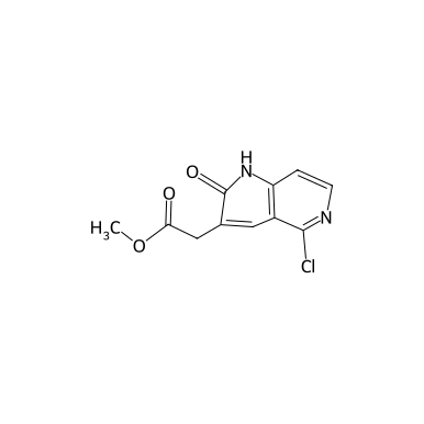 COC(=O)Cc1cc2c(Cl)nccc2[nH]c1=O